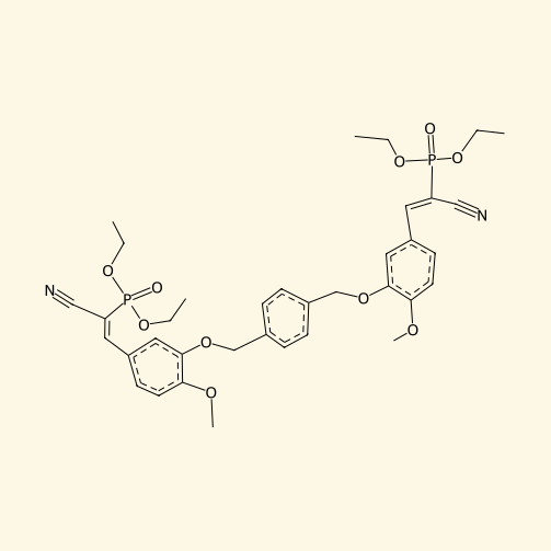 CCOP(=O)(OCC)C(C#N)=Cc1ccc(OC)c(OCc2ccc(COc3cc(C=C(C#N)P(=O)(OCC)OCC)ccc3OC)cc2)c1